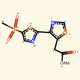 COC(=O)Cc1s[c]nc1-c1ncc(S(C)(=O)=O)s1